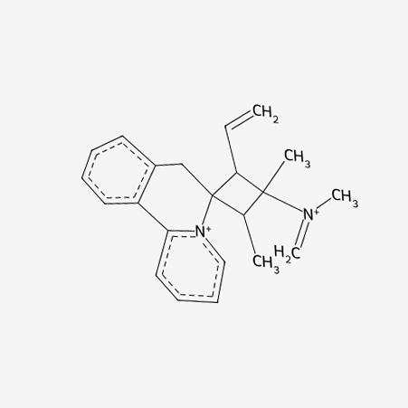 C=CC1C(C)([N+](=C)C)C(C)C12Cc1ccccc1-c1cccc[n+]12